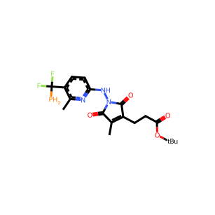 CC1=C(CCC(=O)OC(C)(C)C)C(=O)N(Nc2ccc(C(F)(F)P)c(C)n2)C1=O